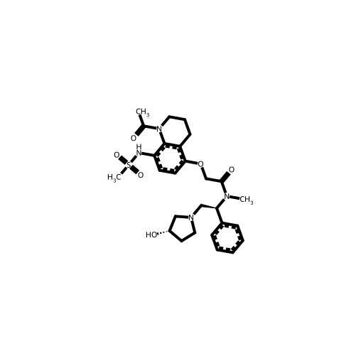 CC(=O)N1CCCc2c(OCC(=O)N(C)[C@H](CN3CC[C@H](O)C3)c3ccccc3)ccc(NS(C)(=O)=O)c21